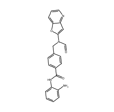 Nc1ccccc1NC(=O)c1ccc(CN(C=O)c2cc3ncccc3o2)cc1